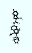 Cc1ccc2c(N)c(C(=O)N[C@@H]3CCc4c(C#N)c(N5CC6CCC(C5)N6)cc(F)c4C3)sc2n1